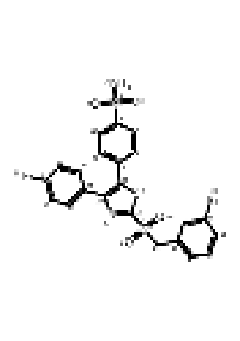 NS(=O)(=O)c1ccc(-c2sc(S(=O)(=O)Cc3cccc(Br)c3)nc2-c2ccc(F)cc2)cc1